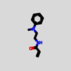 C=CC(=O)NCCN(C)c1ccccc1